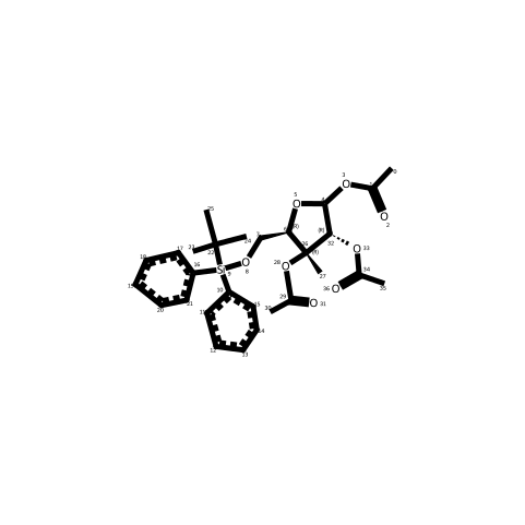 CC(=O)OC1O[C@H](CO[Si](c2ccccc2)(c2ccccc2)C(C)(C)C)[C@@](C)(OC(C)=O)[C@H]1OC(C)=O